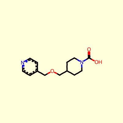 O=C(O)N1CCC(COCc2ccncc2)CC1